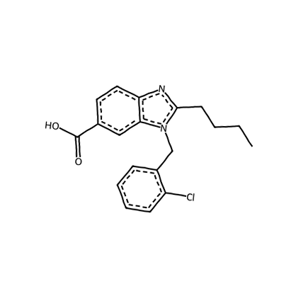 CCCCc1nc2ccc(C(=O)O)cc2n1Cc1ccccc1Cl